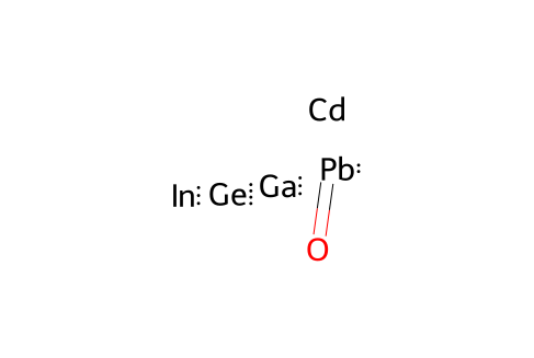 [Cd].[Ga].[Ge].[In].[O]=[Pb]